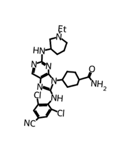 CCN1CCCC(Nc2ncc3nc(Nc4c(Cl)cc(C#N)cc4Cl)n(C4CCC(C(N)=O)CC4)c3n2)C1